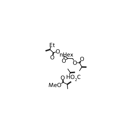 C=C(C)C(=O)O.C=C(C)C(=O)OC.C=C(C)C(=O)OCC1CO1.C=C(CC)C(=O)OCCCCCC